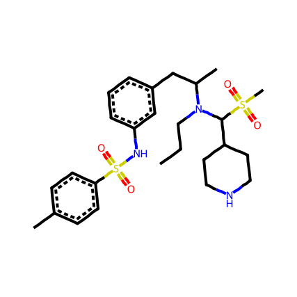 CCCN(C(C)Cc1cccc(NS(=O)(=O)c2ccc(C)cc2)c1)C(C1CCNCC1)S(C)(=O)=O